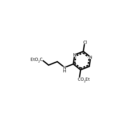 CCOC(=O)CCNc1nc(Cl)ncc1C(=O)OCC